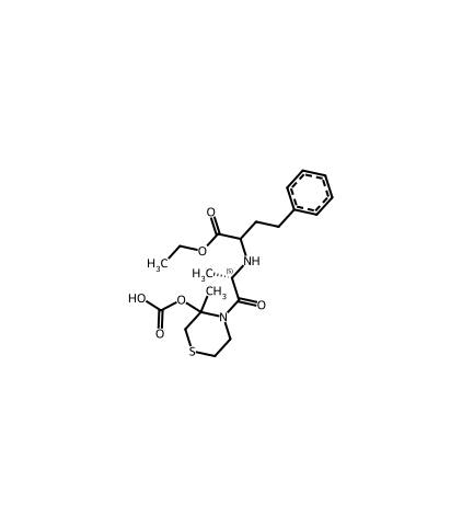 CCOC(=O)C(CCc1ccccc1)N[C@@H](C)C(=O)N1CCSCC1(C)OC(=O)O